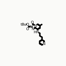 Cc1cc(NCCCc2cccnc2)c2nn(C(=O)OC(C)(C)C)c(=O)n2c1